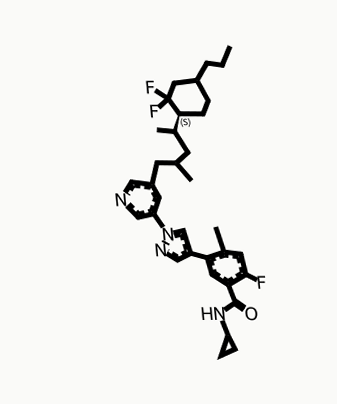 CCCC1CC[C@@H](C(C)CC(C)Cc2cncc(-n3cc(-c4cc(C(=O)NC5CC5)c(F)cc4C)cn3)c2)C(F)(F)C1